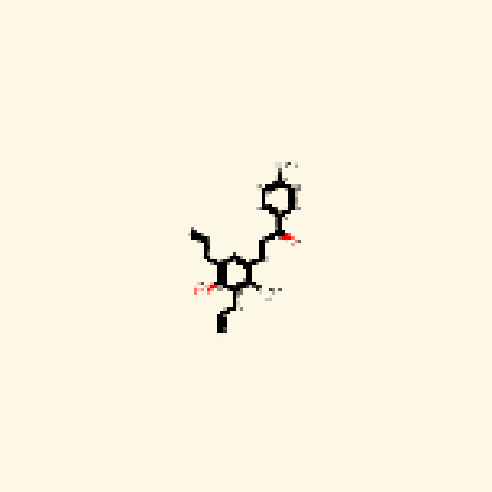 C=CCc1cc(/C=C/C(=O)c2ccc(NC)cc2)c(OC)c(CC=C)c1O